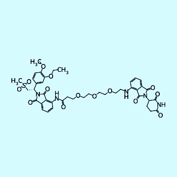 CCOc1cc([C@@H](CS(C)(=O)=O)N2C(=O)c3cccc(NC(=O)CCOCCOCCOCCNc4cccc5c4C(=O)N(C4CCC(=O)NC4=O)C5=O)c3C2=O)ccc1OC